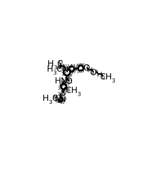 CCCCOCCOc1ccc(-c2ccc3c(c2)C=C(C(=O)Nc2ccc(SCc4nccn4C)c(C)c2)CCN3CC(C)C)cc1